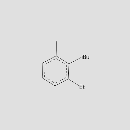 CCc1cc[c]c(C)c1C(C)CC